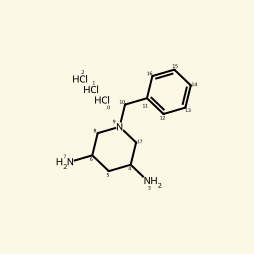 Cl.Cl.Cl.NC1CC(N)CN(Cc2ccccc2)C1